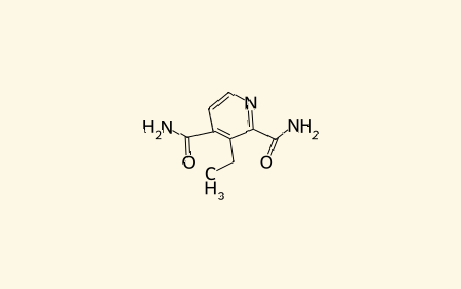 CCc1c(C(N)=O)ccnc1C(N)=O